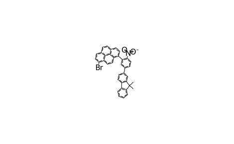 CC1(C)c2ccccc2-c2ccc(-c3ccc([N+](=O)[O-])c(-c4ccc5ccc6ccc(Br)c7ccc4c5c67)c3)cc21